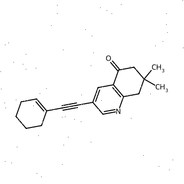 CC1(C)CC(=O)c2cc(C#CC3=CCCCC3)cnc2C1